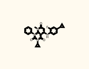 Cn1c(=O)cc(Nc2ccc(C3CC3)cc2F)c2c(=O)n(C3CC3)c(=O)n(-c3ccccc3)c21